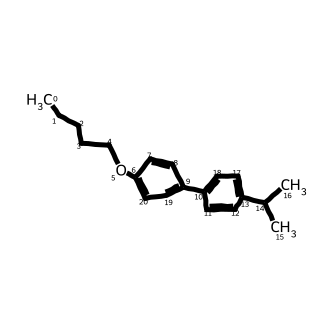 CCCCCOc1ccc(-c2ccc(C(C)C)cc2)cc1